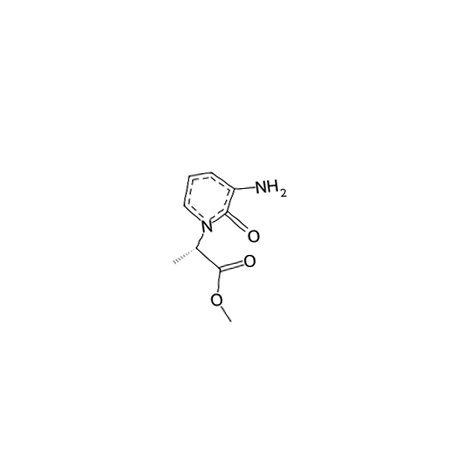 COC(=O)[C@H](C)n1cccc(N)c1=O